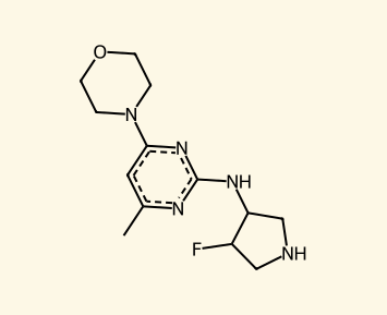 Cc1cc(N2CCOCC2)nc(NC2CNCC2F)n1